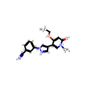 CCOc1cc(=O)n(C)cc1-c1cnn(-c2cccc(C#N)c2)c1